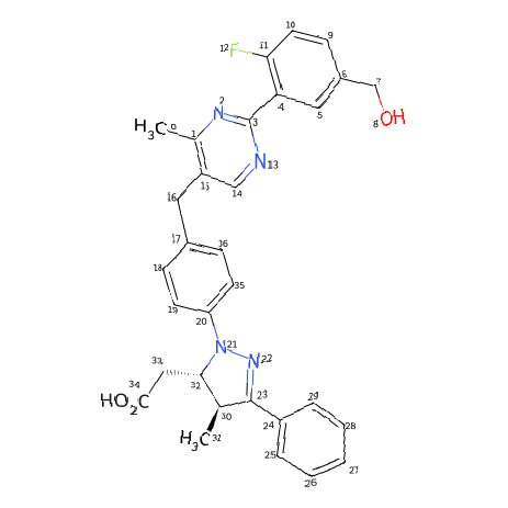 Cc1nc(-c2cc(CO)ccc2F)ncc1Cc1ccc(N2N=C(c3ccccc3)[C@@H](C)[C@@H]2CC(=O)O)cc1